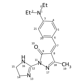 CCN(CC)c1ccc(/C=C2\C(=O)N(C3=NCCN3)N=C2C)cc1